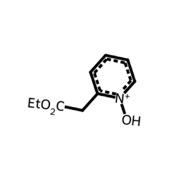 CCOC(=O)Cc1cccc[n+]1O